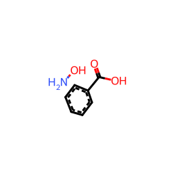 NO.O=C(O)c1ccccc1